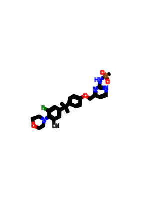 CC(C)(c1ccc(OCc2ccnc(NS(C)(=O)=O)n2)cc1)c1cc(F)c(N2CCOCC2)c(C#N)c1